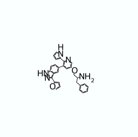 N[C@H](COc1cnc(-c2ccc[nH]2)c(-c2ccc3[nH]nc(-c4ccco4)c3c2)c1)Cc1ccccc1